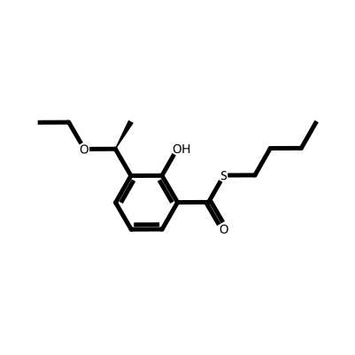 CCCCSC(=O)c1cccc([C@H](C)OCC)c1O